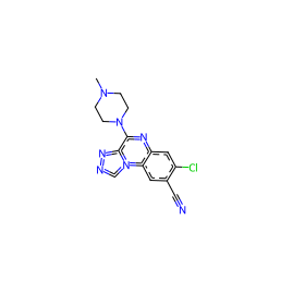 CN1CCN(c2nc3cc(Cl)c(C#N)cc3n3cnnc23)CC1